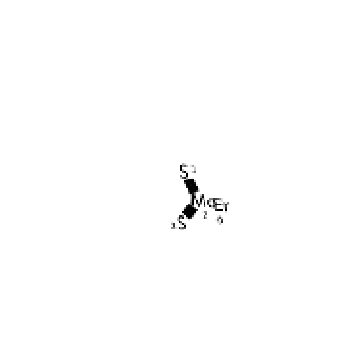 [Er].[S]=[Mo]=[S]